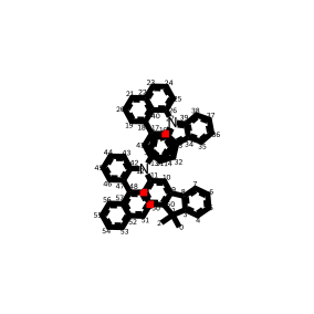 CC1(C)c2ccccc2-c2cc(N(c3cccc(-c4cccc5cccc(-n6c7ccccc7c7ccccc76)c45)c3)c3ccccc3-c3cccc4ccccc34)ccc21